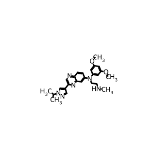 CNCCN(c1cc(OC)cc(OC)c1)c1ccc2ncc(-c3cnn(C(C)C)c3)nc2c1